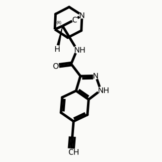 C#Cc1ccc2c(C(=O)N[C@H]3CN4CCC3CC4)n[nH]c2c1